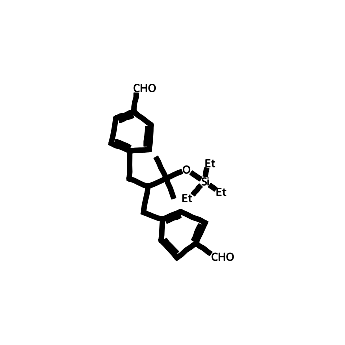 CC[Si](CC)(CC)OC(C)(C)C(Cc1ccc(C=O)cc1)Cc1ccc(C=O)cc1